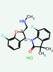 CNC[C@@H]1Oc2c(F)cccc2[C@H]1N1C(=O)C(C)(C)c2cccc(F)c21.Cl